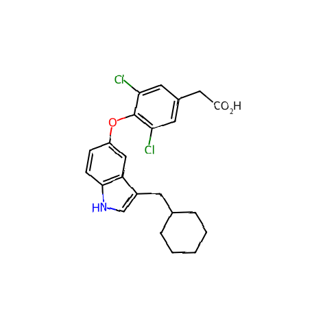 O=C(O)Cc1cc(Cl)c(Oc2ccc3[nH]cc(CC4CCCCC4)c3c2)c(Cl)c1